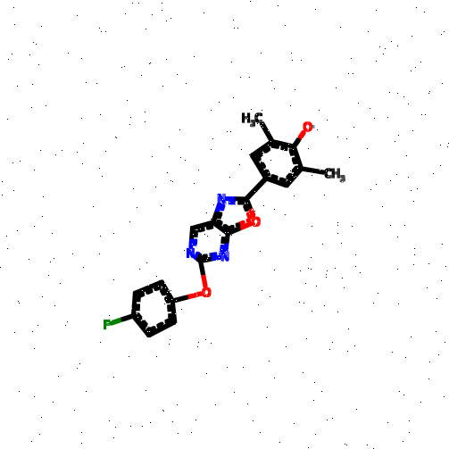 Cc1cc(-c2nc3cnc(Oc4ccc(F)cc4)nc3o2)cc(C)c1[O]